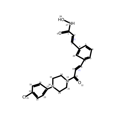 O=C(/C=C/c1cccc(/C=C/C(=O)N2CCN(c3ccc(Cl)cc3)CC2)c1)NO